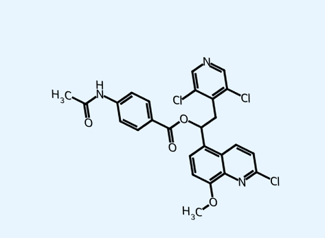 COc1ccc(C(Cc2c(Cl)cncc2Cl)OC(=O)c2ccc(NC(C)=O)cc2)c2ccc(Cl)nc12